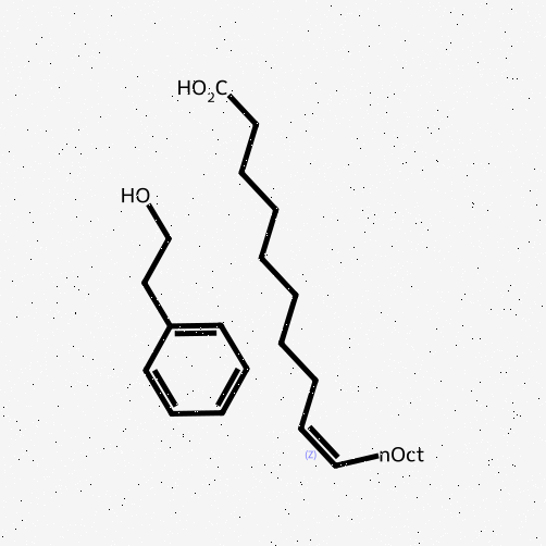 CCCCCCCC/C=C\CCCCCCCC(=O)O.OCCc1ccccc1